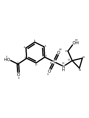 O=C(O)c1cccc(S(=O)(=O)NC2(CO)CC2)c1